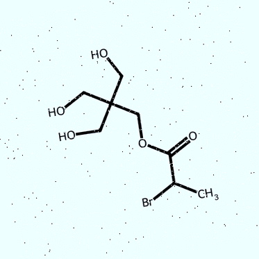 CC(Br)C(=O)OCC(CO)(CO)CO